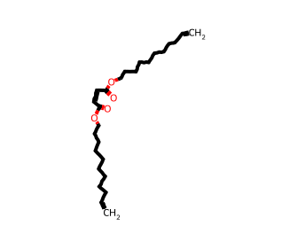 C=CCCCCCCCCCOC(=O)/C=C\C(=O)OCCCCCCCCCC=C